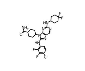 NC(=O)C1CCC(n2c(Nc3ccc(Cl)c(F)c3F)nc3cnc(NC4CCC(F)(F)CC4)nc32)CC1